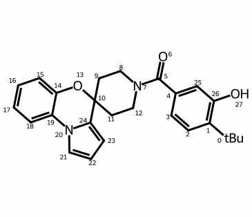 CC(C)(C)c1ccc(C(=O)N2CCC3(CC2)Oc2ccccc2-n2cccc23)cc1O